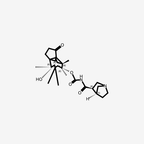 C[C@@H]1CCC23CCC(=O)C2[C@]1(C)[C@H](OC(=O)NC(=O)[C@H]1CN2CC[C@@H]1C2)CC(C)(C)[C@@H](O)[C@@H]3C